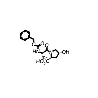 CC(C)[C@H](NC(=O)OCc1ccccc1)C(=O)N1C[C@H](O)C[C@H]1C(=O)O